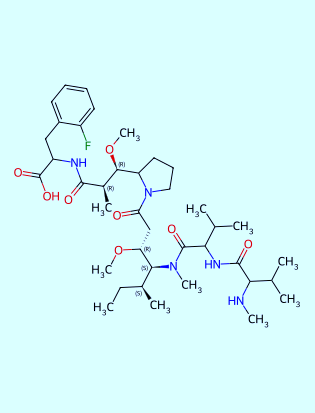 CC[C@H](C)[C@@H]([C@@H](CC(=O)N1CCCC1[C@H](OC)[C@@H](C)C(=O)NC(Cc1ccccc1F)C(=O)O)OC)N(C)C(=O)C(NC(=O)C(NC)C(C)C)C(C)C